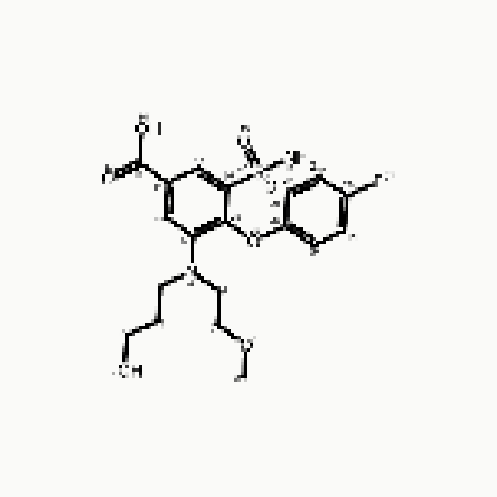 COCCN(CCCO)c1cc(C(=O)O)cc(S(N)(=O)=O)c1Oc1ccc(F)cc1